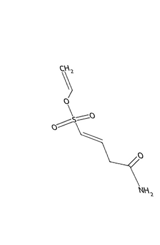 C=COS(=O)(=O)C=CCC(N)=O